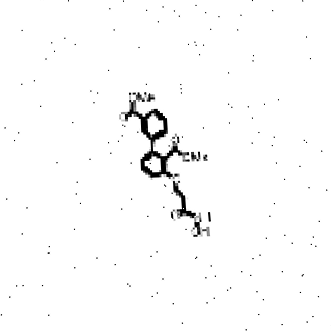 COC(=O)c1cccc(-c2cccc(OCCC(=O)NO)c2C(=O)OC)c1